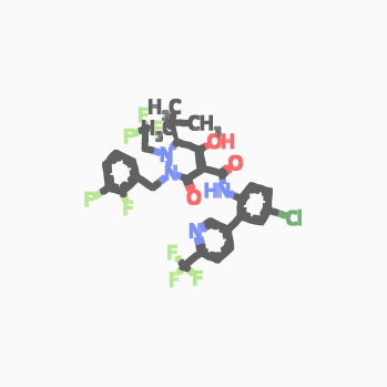 CC(C)(C)[C@H]1C(O)=C(C(=O)Nc2ccc(Cl)cc2-c2ccc(C(F)(F)F)nc2)C(=O)N(Cc2cccc(F)c2F)N1CC(F)(F)F